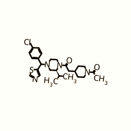 CC(=O)N1CCC(CC(=O)N2CCN(C(c3ccc(Cl)cc3)c3cncs3)C[C@@H]2C(C)C)CC1